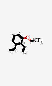 C=[C]c1cccc(OCC(F)(F)F)c1C=C